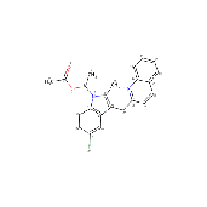 CC(=O)OC(C)n1c(C)c(Cc2ccc3ccccc3n2)c2cc(F)ccc21